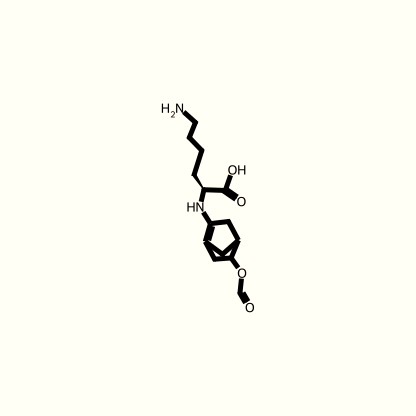 NCCCC[C@H](NC1=C2CC(C1)C(OC=O)C2)C(=O)O